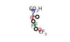 CN(CCC(Oc1ccc(C(F)(F)c2cccc(OC(F)(F)F)c2)cc1)c1ccccc1)CC(=O)O